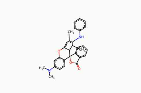 CC1=C(Nc2ccccc2)C(C)C2C(=C1)Oc1cc(N(C)C)ccc1C21OC(=O)c2ccccc21